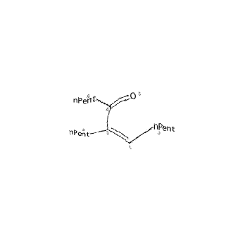 CCCCCC=C(CCCCC)C(=O)CCCCC